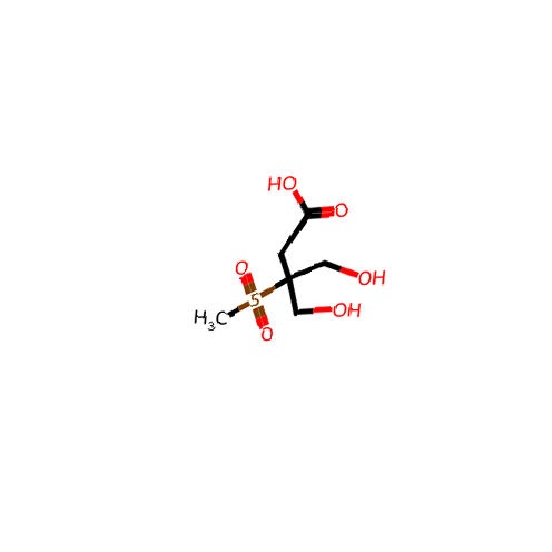 CS(=O)(=O)C(CO)(CO)CC(=O)O